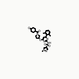 Cc1cccc(C)c1-c1cc(OC2CCN(C(=O)C3CCC(=O)CC3)C2)nc(NS(=O)(=O)c2cnn(C)c2)n1